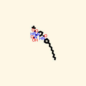 CCCCCCCCCCc1ccc(NC(=O)[C@@H]2CCCN(C(=NC(=O)O)NC(=O)OC(C)(C)C)C2)cc1